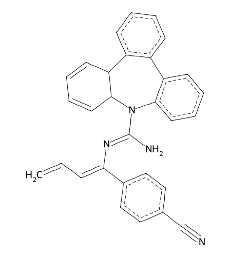 C=C/C=C(\N=C(/N)N1c2ccccc2-c2ccccc2C2C=CC=CC21)c1ccc(C#N)cc1